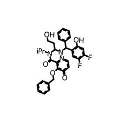 CC(C)N1C(=O)c2c(OCc3ccccc3)c(=O)ccn2N(C(c2ccccc2)c2cc(F)c(F)cc2O)C1CCO